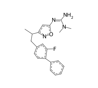 CC(Cc1ccc(-c2ccccc2)c(F)c1)c1cc(N=C(N)N(C)C)on1